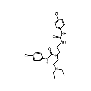 CCN(CC)CCN(CCNC(=O)Nc1ccc(Cl)cc1)C(=O)Nc1ccc(Cl)cc1